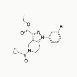 CCOC(=O)c1nn(-c2cccc(Br)c2)c2c1CN(C(=O)C1CC1)CC2